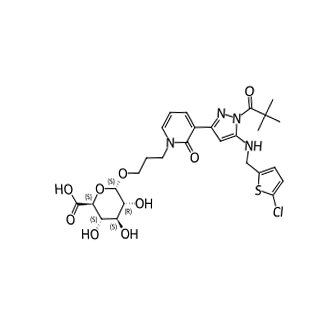 CC(C)(C)C(=O)n1nc(-c2cccn(CCCO[C@H]3O[C@H](C(=O)O)[C@@H](O)[C@H](O)[C@H]3O)c2=O)cc1NCc1ccc(Cl)s1